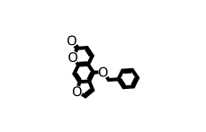 O=c1ccc2c(OCc3ccccc3)c3ccoc3cc2o1